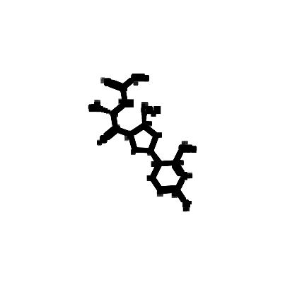 COC(=O)N[C@H](C(=O)N1C[C@H](C2CC=C(Br)N=C2OC)C[C@H]1C(=O)O)C(C)(C)C